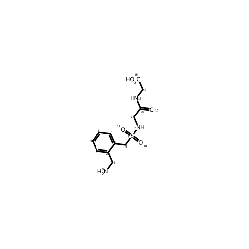 NCc1ccccc1CS(=O)(=O)NCC(=O)NCC(=O)O